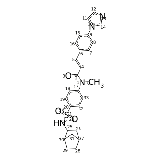 CN(C(=O)/C=C/c1ccc(-n2ccnc2)cc1)c1ccc(S(=O)(=O)NC2CC3CCC2C3)cc1